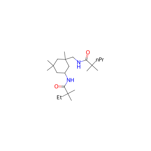 CCCC(C)(C)C(=O)NCC1(C)CC(NC(=O)C(C)(C)CC)CC(C)(C)C1